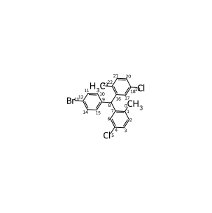 Cc1ccc(Cl)cc1C(c1ccc(Br)cc1)c1cc(Cl)ccc1C